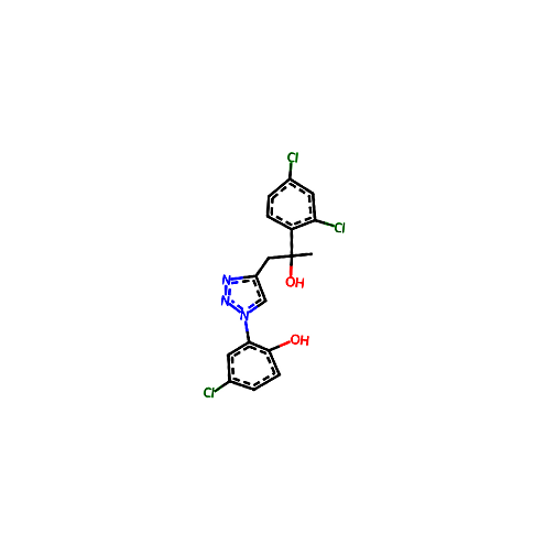 CC(O)(Cc1cn(-c2cc(Cl)ccc2O)nn1)c1ccc(Cl)cc1Cl